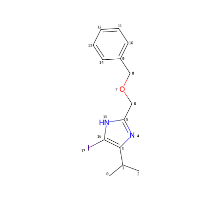 CC(C)c1nc(COCc2ccccc2)[nH]c1I